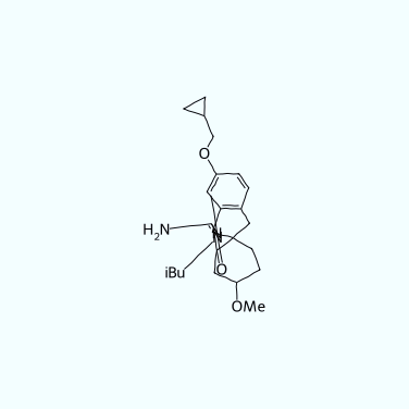 CCC(C)N1C(=O)C2(N=C1N)c1cc(OCC3CC3)ccc1CC21CCC(OC)CC1